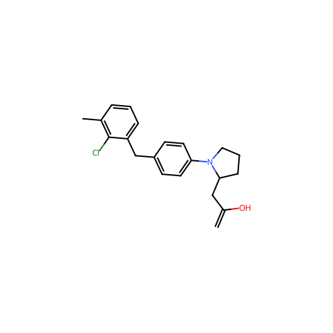 C=C(O)CC1CCCN1c1ccc(Cc2cccc(C)c2Cl)cc1